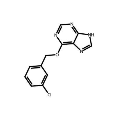 Clc1cccc(COc2ncnc3[nH]cnc23)c1